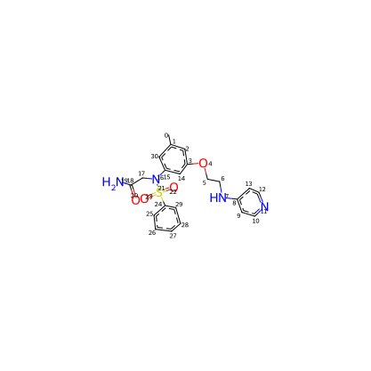 Cc1cc(OCCNc2ccncc2)cc(N(CC(N)=O)S(=O)(=O)c2ccccc2)c1